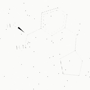 C[C@H](N)c1cccc(OC2CCCC2)c1